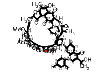 C=C(O)c1cn(-c2ccc(F)cc2F)c2nc(N3CCC(N4CCN(C5=C6NC(=O)/C(C)=C\C=C\[C@H](C)[C@H](O)[C@@H](C)[C@@H](O)[C@@H](C)[C@H](OC(C)=O)[C@H](C)[C@@H](OC)/C=C/O[C@@]7(C)Oc8c(C)c(O)c(c(c8C7=O)C5=O)C6=O)CC4)C3)c(F)cc2c1=O